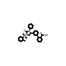 O=C(O)c1ccccc1-c1cccc(C2CN(S(=O)(=O)c3ccccc3I)C(=O)N2c2ccccc2)c1